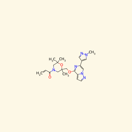 C=CC(=O)N1CC(C)(C)OC(C)(COc2nc(-c3cnn(C)c3)cn3nccc23)C1